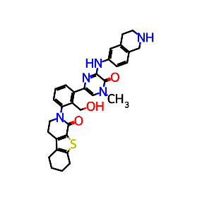 Cn1cc(-c2cccc(N3CCc4c(sc5c4CCCC5)C3=O)c2CO)nc(Nc2ccc3c(c2)CCNC3)c1=O